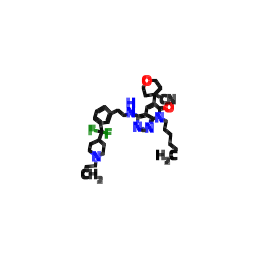 C=CCCCCn1c(=O)c(C2(C#N)CCOCC2)cc2c(NCCc3cccc(C(F)(F)C4CCN(CC=C)CC4)c3)ncnc21